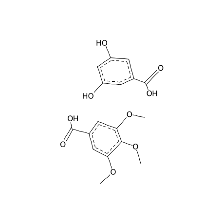 COc1cc(C(=O)O)cc(OC)c1OC.O=C(O)c1cc(O)cc(O)c1